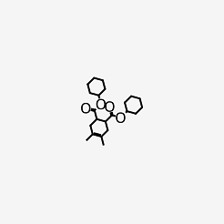 CC1=C(C)CC(C(=O)OC2CCCCC2)C(C(=O)OC2CCCCC2)C1